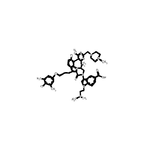 Cc1cc(OCCCc2c3n(c4c(-c5c(C)nc(CN6CCN(C)CC6)nc5C)c(Cl)ccc24)C(C)CN(c2cn(CCN(C)C)c4ccc(C(=O)O)cc24)C3=O)cc(C)c1Cl